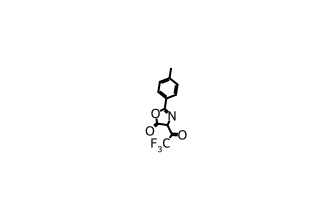 Cc1ccc(C2=NC(C(=O)C(F)(F)F)C(=O)O2)cc1